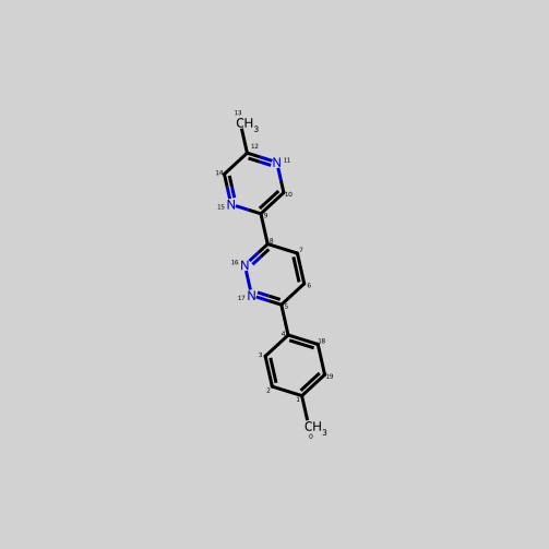 Cc1ccc(-c2ccc(-c3cnc(C)cn3)nn2)cc1